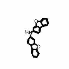 C1=CC2c3ccccc3OC2C=C1Nc1ccc2c(c1)oc1ccccc12